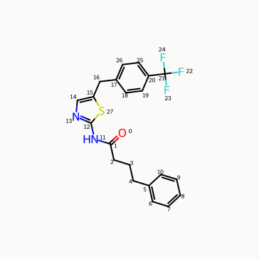 O=C(CCCc1ccccc1)Nc1ncc(Cc2ccc(C(F)(F)F)cc2)s1